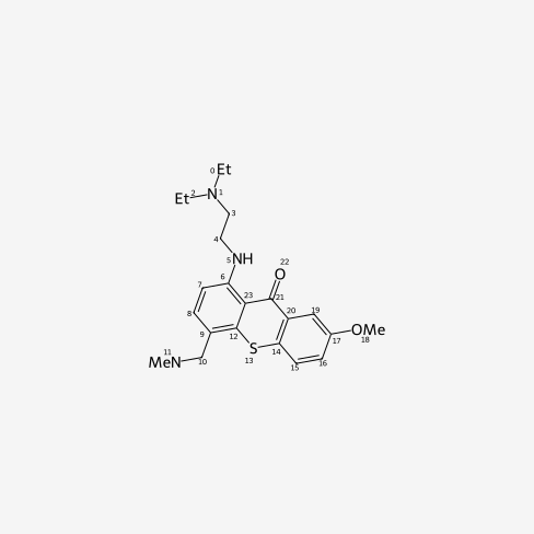 CCN(CC)CCNc1ccc(CNC)c2sc3ccc(OC)cc3c(=O)c12